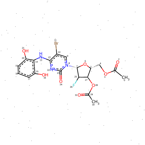 CC(=O)OC[C@H]1O[C@@H](n2cc(Br)c(Nc3c(O)cccc3O)nc2=O)C(F)C1OC(C)=O